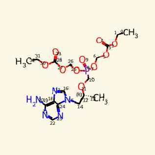 CCOC(=O)OCOP(=O)(CO[C@H](C)Cn1cnc2c(N)ncnc21)OCOC(=O)OCC